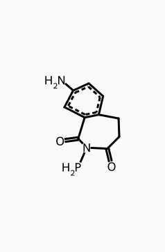 Nc1ccc2c(c1)C(=O)N(P)C(=O)CC2